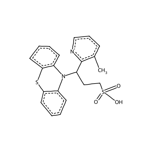 Cc1cccnc1C(CCS(=O)(=O)O)N1c2ccccc2Sc2ccccc21